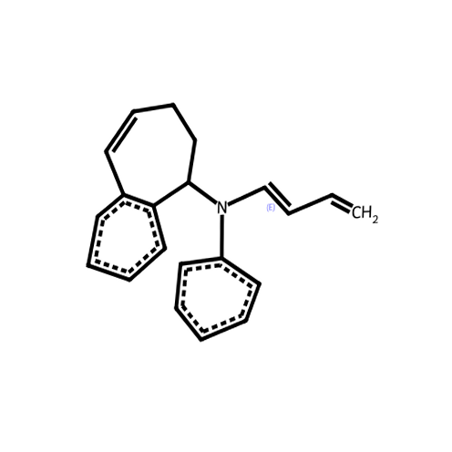 C=C/C=C/N(c1ccccc1)C1CCC=Cc2ccccc21